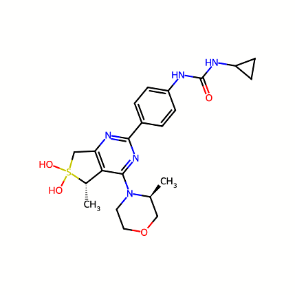 C[C@H]1COCCN1c1nc(-c2ccc(NC(=O)NC3CC3)cc2)nc2c1[C@H](C)S(O)(O)C2